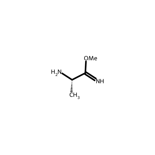 COC(=N)[C@H](C)N